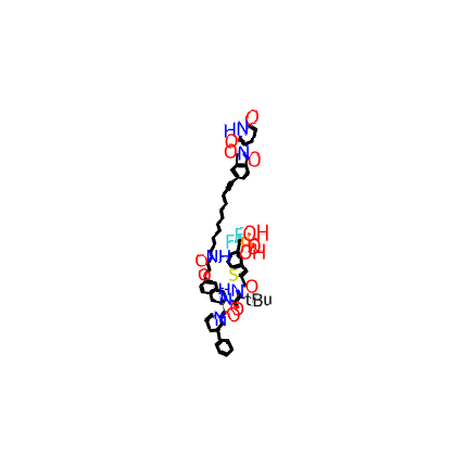 CC(C)(C)[C@H](NC(=O)c1cc2cc(C(F)(F)P(=O)(O)O)ccc2s1)C(=O)N1Cc2cc(OCC(=O)NCCCCCCCCCC#Cc3ccc4c(c3)C(=O)N(C3CCC(=O)NC3=O)C4=O)ccc2C[C@H]1C(=O)N1CCCC(c2ccccc2)C1